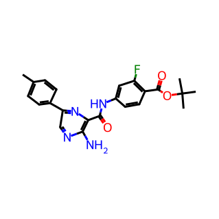 Cc1ccc(-c2cnc(N)c(C(=O)Nc3ccc(C(=O)OC(C)(C)C)c(F)c3)n2)cc1